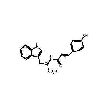 N#Cc1ccc(/C=C/C(=O)N[C@@H](Cc2c[nH]c3ccccc23)C(=O)O)cc1